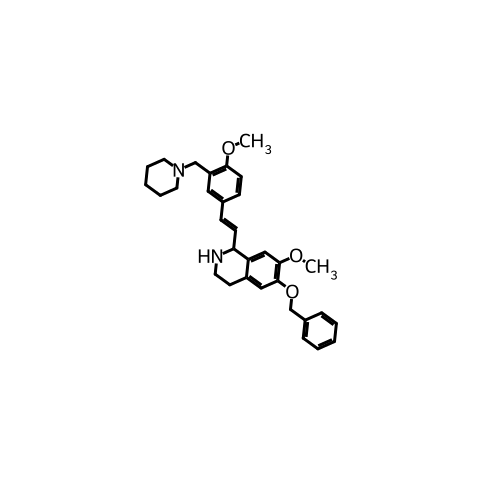 COc1ccc(/C=C/C2NCCc3cc(OCc4ccccc4)c(OC)cc32)cc1CN1CCCCC1